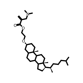 C=C(CN(C)C)C(=O)OCCO[C@H]1CC[C@@]2(C)C(CCC3C2CC[C@@]2(C)C3CC[C@@H]2[C@H](C)CCCC(C)C)C1